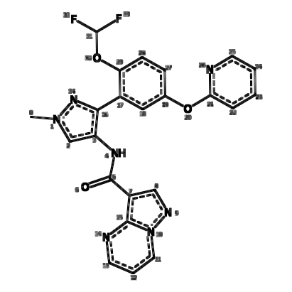 Cn1cc(NC(=O)c2cnn3cccnc23)c(-c2cc(Oc3ccccn3)ccc2OC(F)F)n1